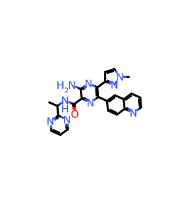 CC(NC(=O)c1nc(-c2ccc3ncccc3c2)c(-c2ccn(C)n2)nc1N)c1ncccn1